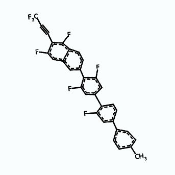 Cc1ccc(-c2ccc(-c3cc(F)c(-c4ccc5c(F)c(C#CC(F)(F)F)c(F)cc5c4)c(F)c3)c(F)c2)cc1